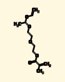 C=COC(C)OCCOCCOC(=O)C(=C)C